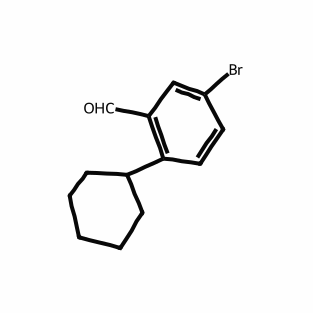 O=Cc1cc(Br)ccc1C1CCCCC1